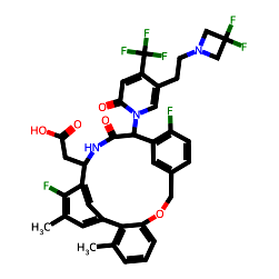 Cc1cc2cc(c1F)C(CC(=O)O)NC(=O)C(n1cc(CCN3CC(F)(F)C3)c(C(F)(F)F)cc1=O)c1cc(ccc1F)COc1cccc(C)c1-2